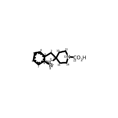 N#CC1(Cc2ccccc2Br)CCN(C(=O)O)CC1